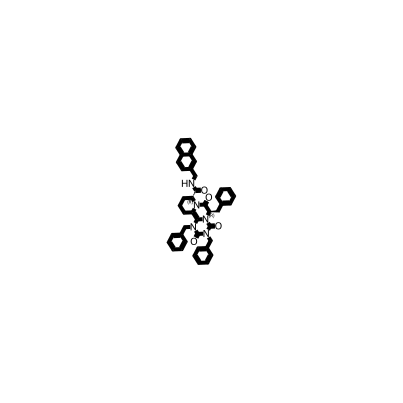 O=C(NCc1ccc2ccccc2c1)[C@H]1CCCC2=C3N(Cc4ccccc4)C(=O)N(Cc4ccccc4)C(=O)N3[C@H](Cc3ccccc3)C(=O)N21